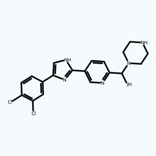 CC(C)C(c1ccc(-c2nc(-c3ccc(Cl)c(Cl)c3)c[nH]2)cn1)N1CCNCC1